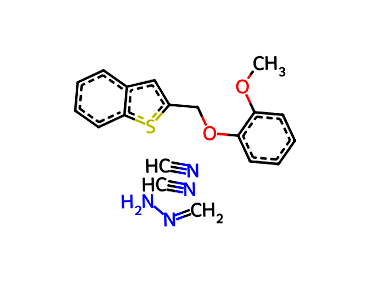 C#N.C#N.C=NN.COc1ccccc1OCc1cc2ccccc2s1